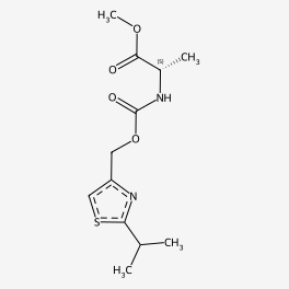 COC(=O)[C@H](C)NC(=O)OCc1csc(C(C)C)n1